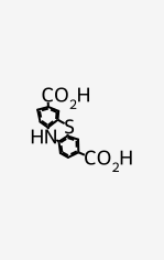 O=C(O)c1ccc2c(c1)Sc1cc(C(=O)O)ccc1N2